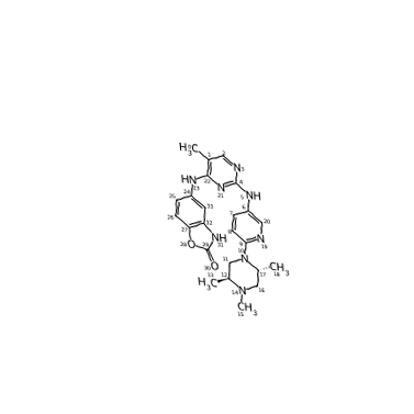 Cc1cnc(Nc2ccc(N3C[C@H](C)N(C)C[C@H]3C)nc2)nc1Nc1ccc2oc(=O)[nH]c2c1